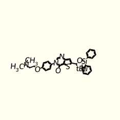 CN(C)CCOc1ccc(-n2cnc3cc(C(O[SiH](c4ccccc4)c4ccccc4)C(C)(C)C)sc3c2=O)cc1